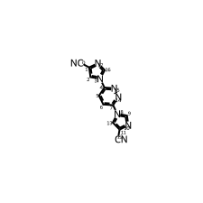 N#Cc1cn(-c2ccc(-n3cnc(C#N)c3)nn2)cn1